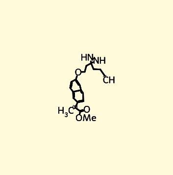 C#CCCC1(CCOc2ccc3cc([C@H](C)C(=O)OC)ccc3c2)NN1